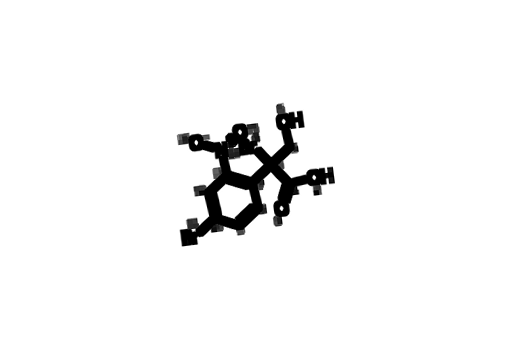 O=C(O)C(Br)(CO)c1ccc(Br)cc1[N+](=O)[O-]